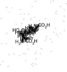 CC(C)C[C@H](NC(=O)[C@H](CC(N)=O)NC(=O)[C@@H](NC(=O)[C@H](CC(=O)O)NC(=O)[C@@H](NC(=O)[C@@H]1CCCN1C(=O)[C@@H](NC(=O)[C@@H](N)CCC(=O)O)[C@@H](C)O)C(C)C)[C@@H](C)O)C(=O)O